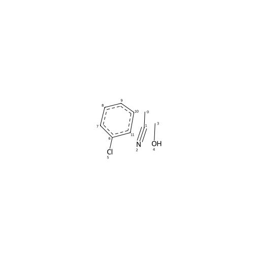 CC#N.CO.Clc1ccccc1